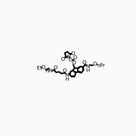 CCCOCCNC(=O)c1ccc2c(c1)C(COC(=O)ON1C(=O)CCC1=O)c1cc(NC(=O)CCCC(=O)NCCOCC)ccc1-2